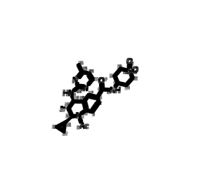 CC(=O)N1c2ccc(C(=O)NC3CCS(=O)(=O)CC3)cc2[C@H](Nc2nccc(C)n2)[C@@H](C)[C@@H]1C1CC1